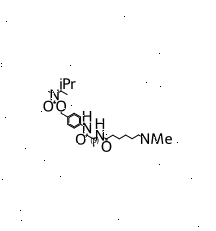 CNCCCCCC(=O)N[C@@H](C)C(=O)Nc1ccc(COC(=O)N(C)C(C)C(C)C)cc1